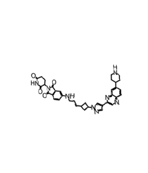 O=C1CCC(N2C(=O)c3ccc(NCCCC4CC(n5cc(-c6cnc7ccc(C8CCNCC8)cc7n6)cn5)C4)cc3C2=O)C(=O)N1